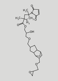 CC(C)(CC(C)(C)N1C(=O)C=CC1=O)C(=O)OCC(O)COCC1CC2C3CC(COCC4CO4)C(C3)C2C1